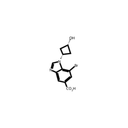 O=C(O)c1cc(Br)c2c(c1)ncn2[C@H]1C[C@@H](O)C1